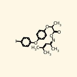 CC(C)=CC(C)=NOC(=O)C(C)Oc1ccc(Oc2ccc(I)cc2)cc1